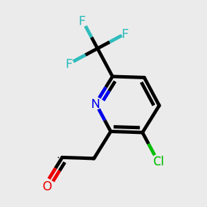 O=[C]Cc1nc(C(F)(F)F)ccc1Cl